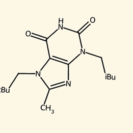 CCC(C)Cn1c(=O)[nH]c(=O)c2c1nc(C)n2CC(C)(C)C